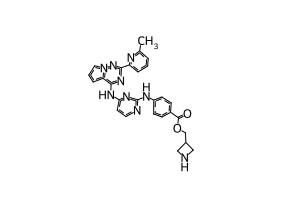 Cc1cccc(-c2nc(Nc3ccnc(Nc4ccc(C(=O)OCC5CNC5)cc4)n3)c3cccn3n2)n1